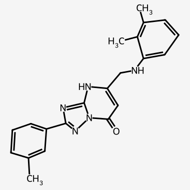 Cc1cccc(-c2nc3[nH]c(CNc4cccc(C)c4C)cc(=O)n3n2)c1